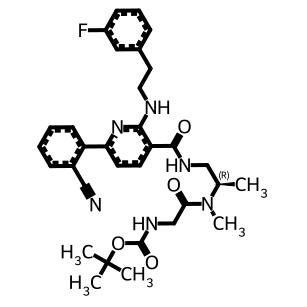 C[C@H](CNC(=O)c1ccc(-c2ccccc2C#N)nc1NCCc1cccc(F)c1)N(C)C(=O)CNC(=O)OC(C)(C)C